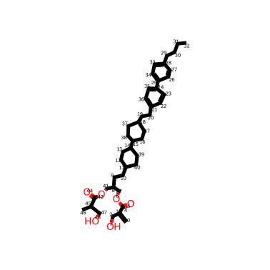 C=C(CO)C(=O)OCC(CCC1CCC(C2CCC(CCc3ccc(-c4ccc(CCCC)cc4)cc3)CC2)CC1)COC(=O)C(C)CO